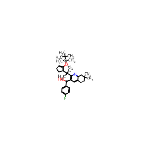 CC1(C)CCc2cc([C@H](O)c3ccc(F)cc3)c(C(C)(C)C3CCC=C3O[Si](C)(C)C(C)(C)C)nc2C1